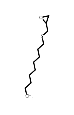 CCCCCCCCCSCC1CO1